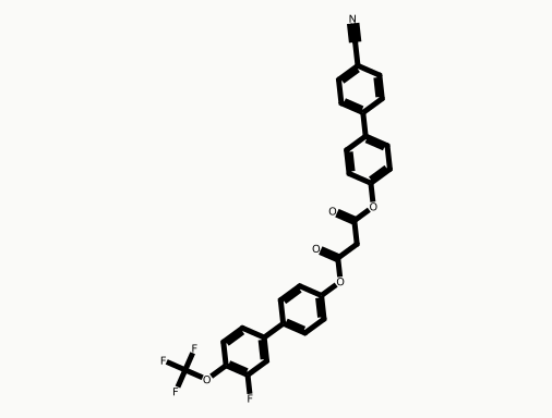 N#Cc1ccc(-c2ccc(OC(=O)CC(=O)Oc3ccc(-c4ccc(OC(F)(F)F)c(F)c4)cc3)cc2)cc1